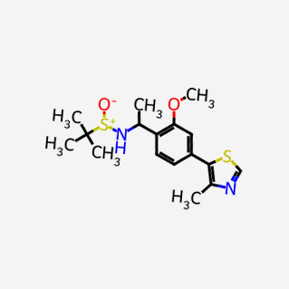 COc1cc(-c2scnc2C)ccc1C(C)N[S+]([O-])C(C)(C)C